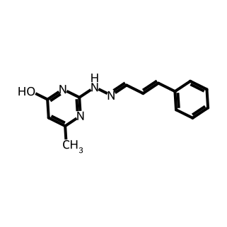 Cc1cc(O)nc(N/N=C/C=C/c2ccccc2)n1